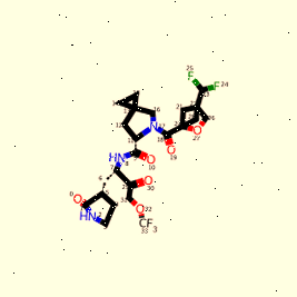 O=C1NCC[C@H]1C[C@H](NC(=O)[C@@H]1CC2(CC2)CN1C(=O)C12CC(C(F)F)(CO1)C2)C(=O)COC(F)(F)F